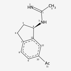 CC(=N)N[C@@H]1CCc2ccc(C(C)=O)cc21